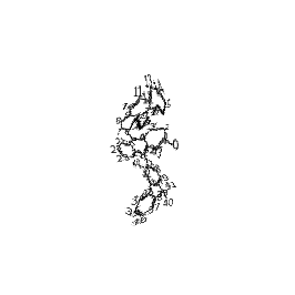 Cc1ccc2c(-c3ccc4ccc5cccnc5c4n3)c3ccccc3c(-c3ccc4c(c3)-c3ccccc3C4(C)C)c2c1